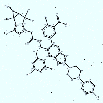 C[C@H]1C2[C@H]1c1c(C(F)(F)F)nn(CC(=O)N[C@@H](Cc3cc(F)cc(F)c3)c3nc4nc(N5CCN(c6ccc(Cl)cc6)CC5)sc4cc3-c3ccc(F)c(C(N)=O)c3)c1C2(F)F